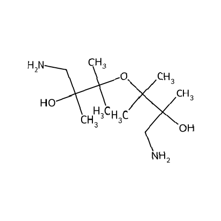 CC(O)(CN)C(C)(C)OC(C)(C)C(C)(O)CN